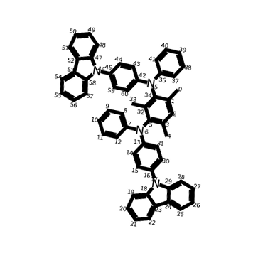 Cc1cc(C)c(N(c2ccccc2)c2ccc(-n3c4ccccc4c4ccccc43)cc2)c(C)c1N(c1ccccc1)c1ccc(-n2c3ccccc3c3ccccc32)cc1